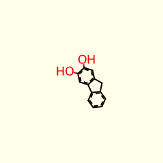 Oc1cc2c(cc1O)-c1ccccc1C2